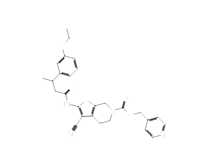 CCOc1cccc(C(C)CC(=O)Nc2sc3c(c2C#N)CCN(C(=O)OCc2ccncc2)C3)c1